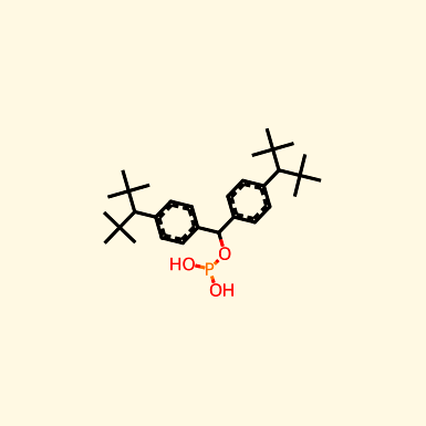 CC(C)(C)C(c1ccc(C(OP(O)O)c2ccc(C(C(C)(C)C)C(C)(C)C)cc2)cc1)C(C)(C)C